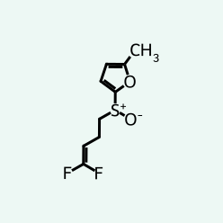 Cc1ccc([S+]([O-])CCC=C(F)F)o1